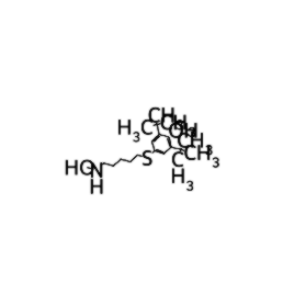 CC(C)(C)c1cc(SCCCCCNO)cc(C(C)(C)C)c1O